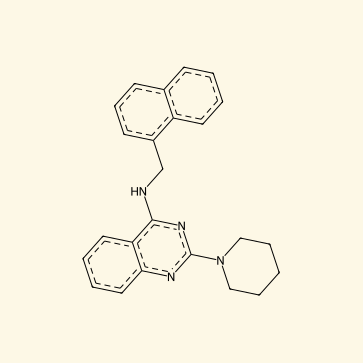 c1ccc2c(CNc3nc(N4CCCCC4)nc4ccccc34)cccc2c1